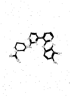 Nc1ccc(Oc2ncccc2-c2ccnc(N[C@H]3CCCN(C(=O)O)C3)n2)c(F)c1Cl